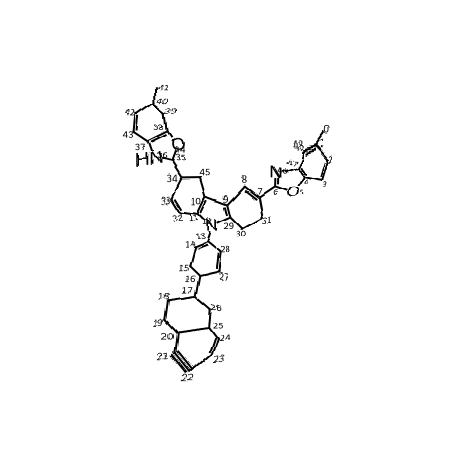 Cc1ccc2oc(C3=Cc4c5c(n(C6=CCC(C7CCC8C#CC=CC8C7)C=C6)c4CC3)C=CC(C3NC4=C(CC(C)C=C4)O3)C5)nc2c1